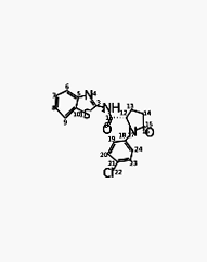 O=C(Nc1nc2ccccc2s1)[C@@H]1CCC(=O)N1c1ccc(Cl)cc1